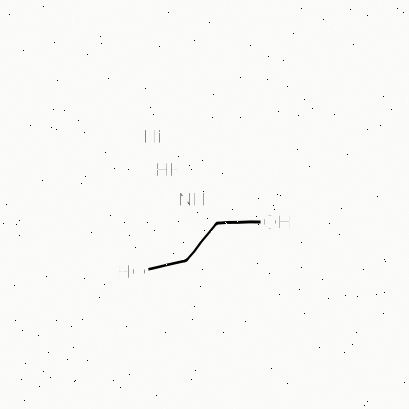 F.F.N.OCCO